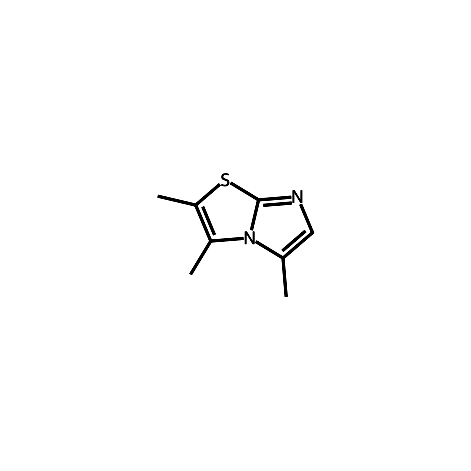 Cc1sc2ncc(C)n2c1C